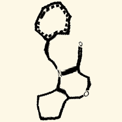 O=C1COC2CCCC2N1Cc1ccccc1